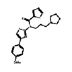 COc1ccc(-c2csc(N(CCCN3CCCC3)C(=O)c3cccs3)n2)cc1